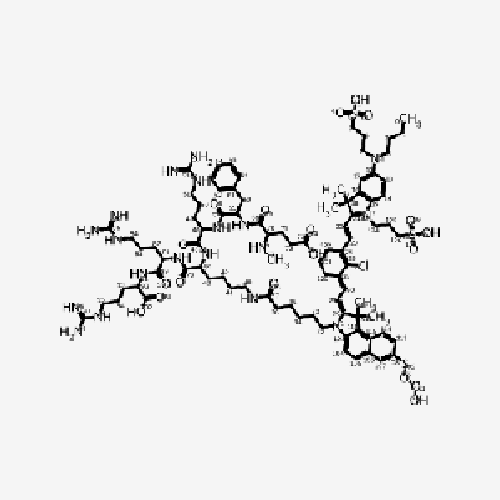 CCCCN(CCCS(=O)(=O)O)c1ccc2c(c1)C(C)(C)C(/C=C/C1=C(Cl)C(=C/C=C3/N(CCCCCC(=O)NCCCCC(NC(=O)C(CCCNC(=N)N)NC(=O)C(Cc4ccccc4)NC(=O)C(CCC(=O)O)NC)C(=O)NC(CCCNC(=N)N)C(=O)NC(CCCNC(=N)N)C(=O)O)c4ccc5cc(SOOO)ccc5c4C3(C)C)/CCC1)=[N+]2CCCS(=O)(=O)O